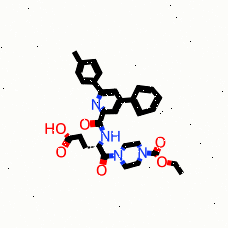 CCOC(=O)N1CCN(C(=O)[C@H](CCC(=O)O)NC(=O)c2cc(-c3ccccc3)cc(-c3ccc(C)cc3)n2)CC1